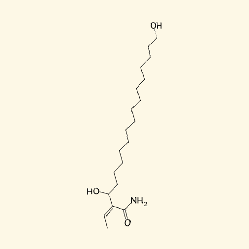 CC=C(C(N)=O)C(O)CCCCCCCCCCCCCCCO